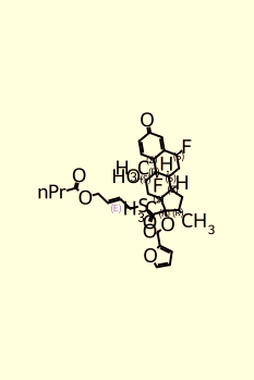 CCCC(=O)OC/C=C/CSC(=O)[C@@]1(OC(=O)c2ccco2)[C@H](C)C[C@H]2[C@@H]3C[C@H](F)C4=CC(=O)C=C[C@]4(C)[C@@]3(F)[C@@H](O)C[C@@]21C